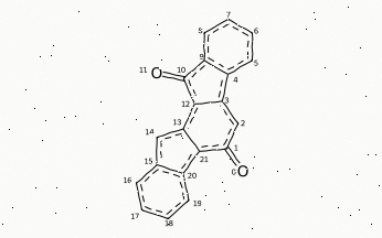 O=c1cc2c3ccccc3c(=O)c-2c2cc3ccccc3c1-2